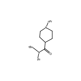 CCCN1CCC(C(=O)N(C(C)C)C(C)(C)C)CC1